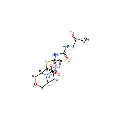 COC(=O)CNC(=O)Nc1nc2c(s1)C1COCC(C2)N1C(=O)OC(C)(C)C